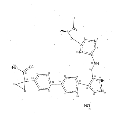 CO[C@H](C)Cc1cncc(NCc2[nH]ncc2-c2ccc(-c3ccc(C4(C(=O)O)CC4)cc3)cn2)n1.Cl